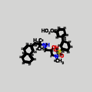 CN(CC(O)CNC(C)(C)Cc1ccc2ccccc2c1)S(=O)(=O)c1cccc(-c2cccc(C(=O)O)c2)c1